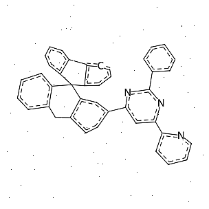 c1ccc(-c2nc(-c3ccc4c(c3)C3(c5ccccc5C4)c4ccccc4-c4ccccc43)cc(-c3ccccn3)n2)cc1